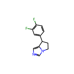 Fc1ccc(C2CCn3cncc32)cc1F